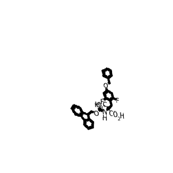 C[C@@](Cc1c(F)cc(OCc2ccccc2)cc1F)(NC(=O)OCC1c2ccccc2-c2ccccc21)C(=O)O